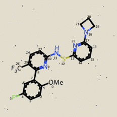 COc1ccc(F)cc1-c1nc(NSc2cccc(N3CCC3)n2)ccc1C(F)(F)F